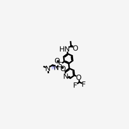 CC(=O)Nc1ccc(-c2cncc(OC(F)F)c2)c(S(=O)(=O)/N=C/N(C)C)c1